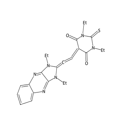 CCN1C(=O)C(=C=C=C2N(CC)c3nc4ccccc4nc3N2CC)C(=O)N(CC)C1=S